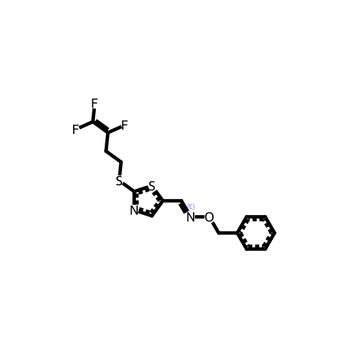 FC(F)=C(F)CCSc1ncc(/C=N/OCc2ccccc2)s1